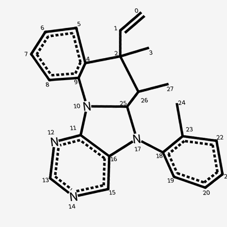 C=CC1(C)c2ccccc2N2c3ncncc3N(c3ccccc3C)C2C1C